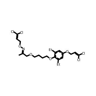 CCc1cc(OCC=C(Cl)Cl)cc(CC)c1OCCCCOCC(C)=NOCC=C(Cl)Cl